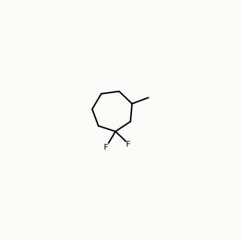 CC1CCCCC(F)(F)C1